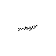 C=C/C(C)=C\C=C\Cn1nc(-c2nc(-c3ccc(C(C)(C)C)cc3)no2)cc1C